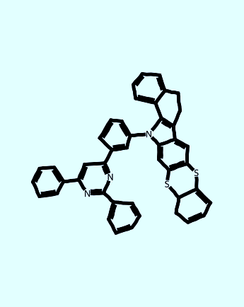 C1=CCC2Sc3cc4c(cc3SC2=C1)c1c(n4-c2cccc(-c3cc(-c4ccccc4)nc(-c4ccccc4)n3)c2)-c2ccccc2CC1